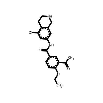 CCOc1ccc(C(=O)Nc2cc(Cl)c3c(c2)CNCC3)cc1C(C)=O